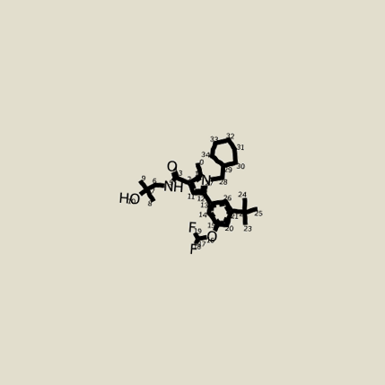 Cc1c(C(=O)NCC(C)(C)O)cc(-c2cc(OC(F)F)cc(C(C)(C)C)c2)n1CC1CCCCC1